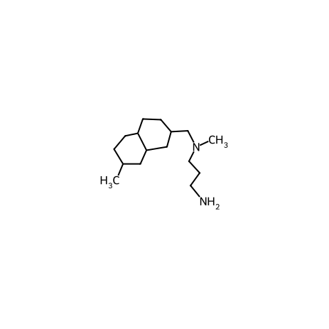 CC1CCC2CCC(CN(C)CCCN)CC2C1